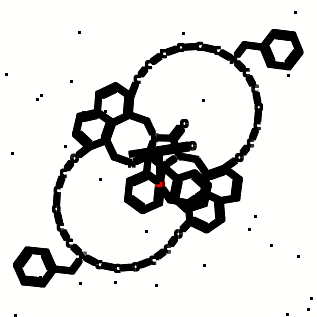 O=C1N2Cc3c4ccc5ccc6c(c35)CN3C(=O)N5Cc7c(ccc8ccc(c(c78)CN1C5(c1ccccc1)C23c1ccccc1)OCCOCCN(Cc1ccccc1)CCOCCC4)OCCOCCN(Cc1ccccc1)CCOCCO6